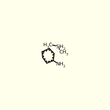 C[SiH2]C.Nc1ccccc1